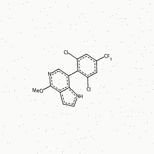 COc1ncc(-c2c(Cl)cc(C(F)(F)F)cc2Cl)c2[nH]ccc12